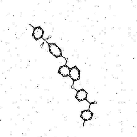 Cc1ccc(C(=O)c2ccc(Oc3cccc4c(Oc5ccc(S(=O)(=O)c6ccc(C)cc6)cc5)cccc34)cc2)cc1